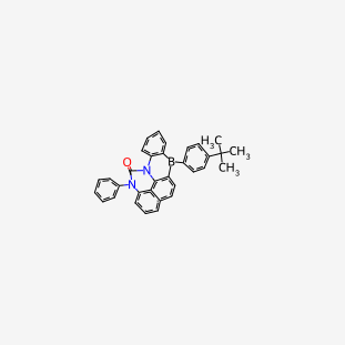 CC(C)(C)c1ccc(B2c3ccccc3N3C(=O)N(c4ccccc4)c4cccc5ccc2c3c45)cc1